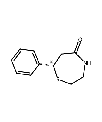 O=C1C[C@@H](c2ccccc2)SCCN1